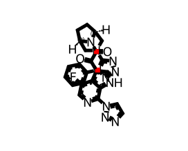 O=C(C(=O)N1[C@@H]2CC[C@H]1CN(c1nnnn1-c1ccccc1)C2)c1c[nH]c2c(-n3ccnn3)ncc(F)c12